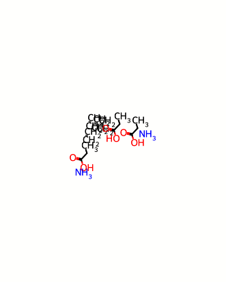 C=C.C=C.C=C.C=C.CCC(=O)O.CCC(=O)O.CCC(=O)O.N.N